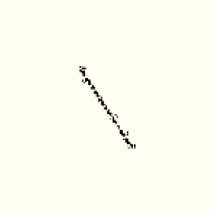 O=C(CCSCSCCCOOCCSCSCCOC(=O)CCSCSCCC(=O)OCCCO)OCCCO